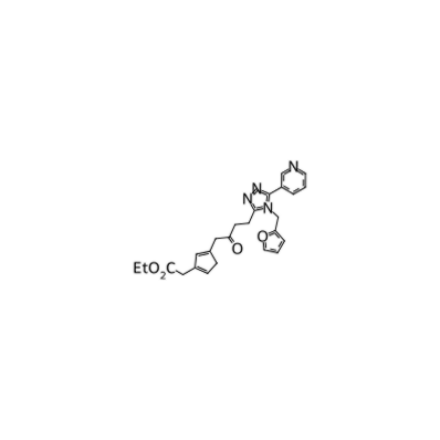 CCOC(=O)CC1=CCC(CC(=O)CCc2nnc(-c3cccnc3)n2Cc2ccco2)=C1